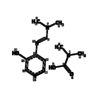 CN(C)C(=O)O.CN(C)C=Nc1ccncc1O